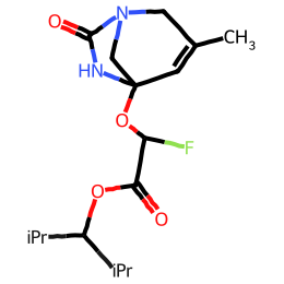 CC1=CC2(OC(F)C(=O)OC(C(C)C)C(C)C)CN(C1)C(=O)N2